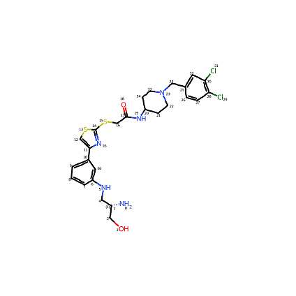 N[C@H](CO)CNc1cccc(-c2csc(SCC(=O)NC3CCN(Cc4ccc(Cl)c(Cl)c4)CC3)n2)c1